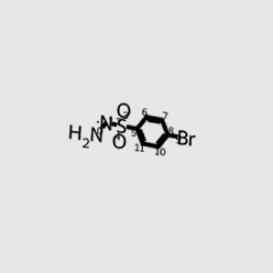 N[N]S(=O)(=O)c1ccc(Br)cc1